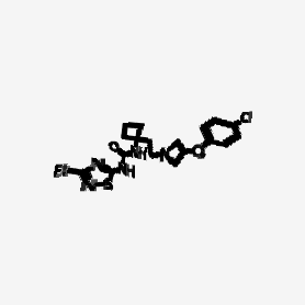 CCc1nsc(NC(=O)NC2(CCN3CC(Oc4ccc(Cl)cc4)C3)CCC2)n1